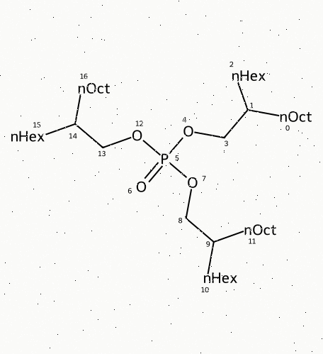 CCCCCCCCC(CCCCCC)COP(=O)(OCC(CCCCCC)CCCCCCCC)OCC(CCCCCC)CCCCCCCC